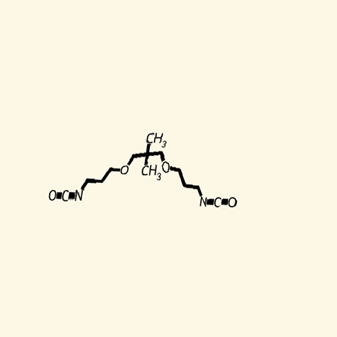 CC(C)(COCCCN=C=O)COCCCN=C=O